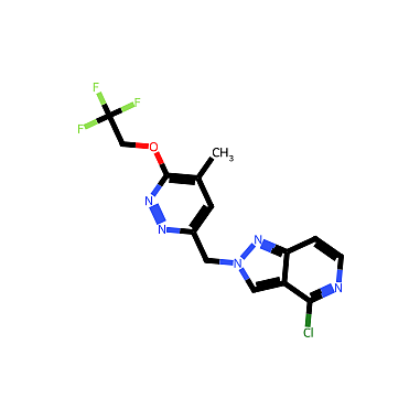 Cc1cc(Cn2cc3c(Cl)nccc3n2)nnc1OCC(F)(F)F